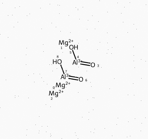 [Mg+2].[Mg+2].[Mg+2].[O]=[Al-3][OH].[O]=[Al-3][OH]